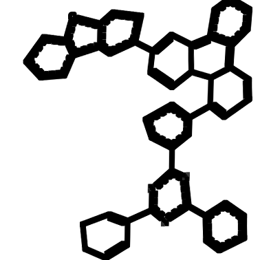 C1=CC2=c3ccccc3=C3C=C(c4ccc5oc6ccccc6c5c4)C=CC3C2C(c2cccc(-c3nc(C4=CCCC=C4)nc(-c4ccccc4)n3)c2)=C1